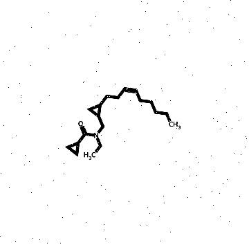 CCCCC/C=C\CCC1CC1CN(CC)C(=O)C1CC1